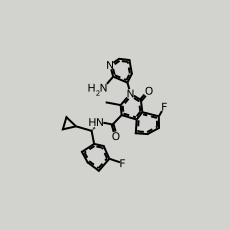 Cc1c(C(=O)N[C@H](c2cccc(F)c2)C2CC2)c2cccc(F)c2c(=O)n1-c1cccnc1N